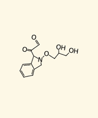 O=CC(=O)C1c2ccccc2CN1OCC(O)CO